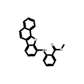 COC(=O)c1ccccc1Nc1cccc2c1oc1c3ccccc3ccc21